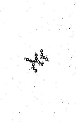 Cc1c[nH]c(C2CCN(C(=O)c3ccc(-c4ccccc4)cc3)CC2)n1.Cc1nc(C2CCN(C(=O)c3ccc(-c4ccc(F)cc4)cc3)CC2)[nH]c1C.O=C(c1ccc(-c2ccc(F)cc2)cc1)N1CCC(c2nc(-c3ccccc3)c[nH]2)CC1